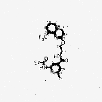 CCC(=O)Nc1cc(C(=O)NCCOc2ccc3cccc(C(F)(F)F)c3n2)cc(C)n1